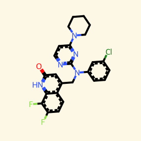 O=c1cc(CN(c2cccc(Cl)c2)c2nccc(N3CCCCC3)n2)c2ccc(F)c(F)c2[nH]1